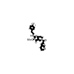 COn1c(NCCc2ccc(C(F)(F)F)cc2)nc2c(c1=O)CN(C(=O)c1cc3cccnc3s1)CC2